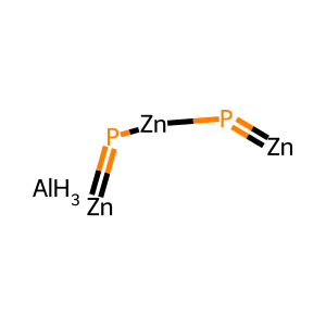 [AlH3].[Zn]=[P][Zn][P]=[Zn]